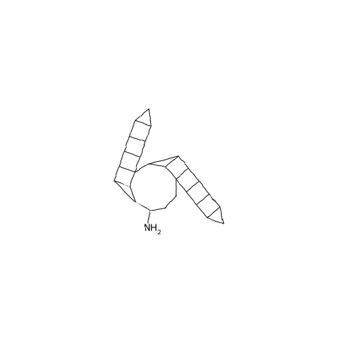 NC1CCC23C4C5C6CC6C5C4C2C2C3C2C23C4C1C4C2C1C2C4CC4C2C13